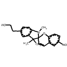 CN1c2ccc(CCO)cc2C(C)(C)C12C=Cc1cc([N+](=O)[O-])ccc1O2